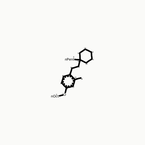 CCCCCCCCOc1ccc(CCC2(CCCCC)CCCCC2)c(C)c1